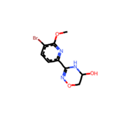 COc1nc(C2=NOCC(O)N2)ccc1Br